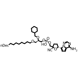 CCCCCCCCCCCCCCCCCCOC[C@H](COP(=O)(O)OC[C@]1(C#N)CC[C@H](c2ccc3c(N)ncnn23)O1)OCC1CCCCC1